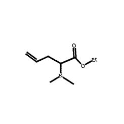 C=CCC(C(=O)OCC)N(C)C